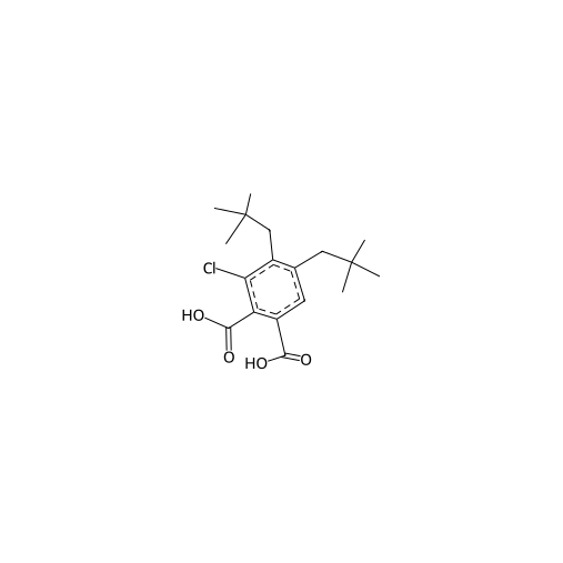 CC(C)(C)Cc1cc(C(=O)O)c(C(=O)O)c(Cl)c1CC(C)(C)C